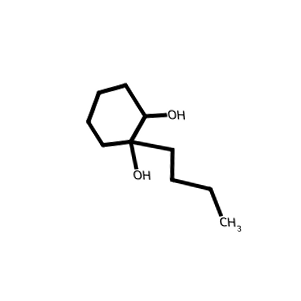 CCCCC1(O)CCCCC1O